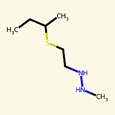 CCC(C)SCCNNC